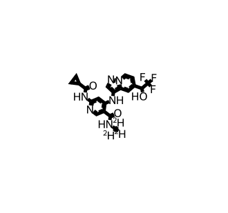 [2H]C([2H])([2H])NC(=O)c1cnc(NC(=O)C2CC2)cc1Nc1cnn2ccc(C(O)C(F)(F)F)cc12